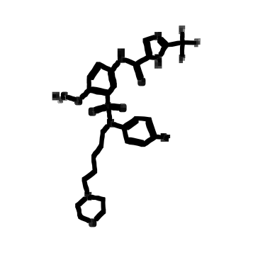 COc1ccc(NC(=O)c2cnc(C(F)(F)F)[nH]2)cc1S(=O)(=O)N(CCCCCN1CCOCC1)c1ccc(Br)cc1